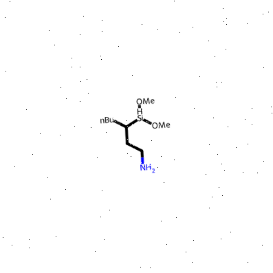 CCCCC(CCN)[SiH](OC)OC